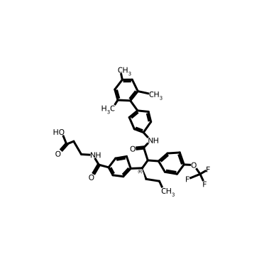 CCC[C@@H](c1ccc(C(=O)NCCC(=O)O)cc1)C(C(=O)Nc1ccc(-c2c(C)cc(C)cc2C)cc1)c1ccc(OC(F)(F)F)cc1